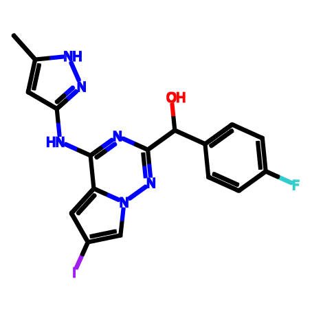 Cc1cc(Nc2nc(C(O)c3ccc(F)cc3)nn3cc(I)cc23)n[nH]1